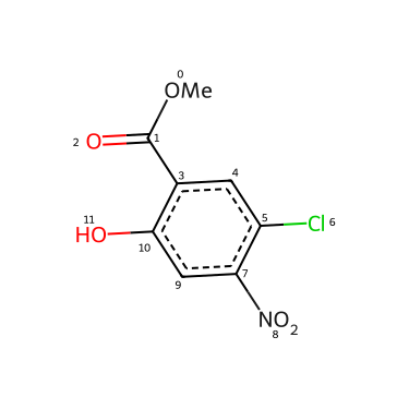 COC(=O)c1cc(Cl)c([N+](=O)[O-])cc1O